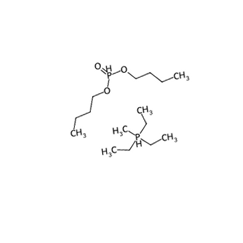 CCCCO[PH](=O)OCCCC.CC[PH](C)(CC)CC